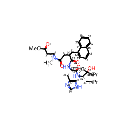 COC(=O)CCN(C)C(=O)CC(Cc1cccc2ccccc12)C(=O)N[C@@H](Cc1c[nH]cn1)C(=O)N[C@@H](CC(C)C)C(O)(C(=O)O)C(C)C